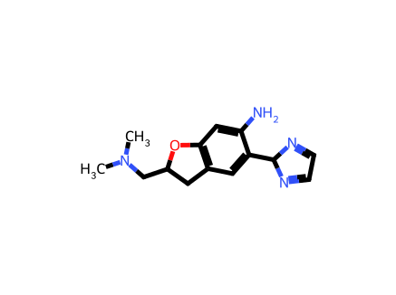 CN(C)CC1Cc2cc(C3N=CC=N3)c(N)cc2O1